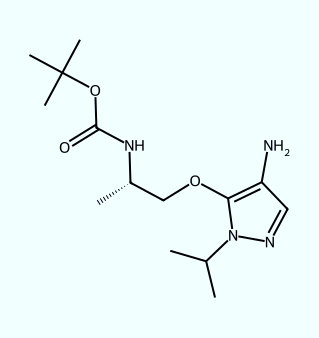 CC(C)n1ncc(N)c1OC[C@H](C)NC(=O)OC(C)(C)C